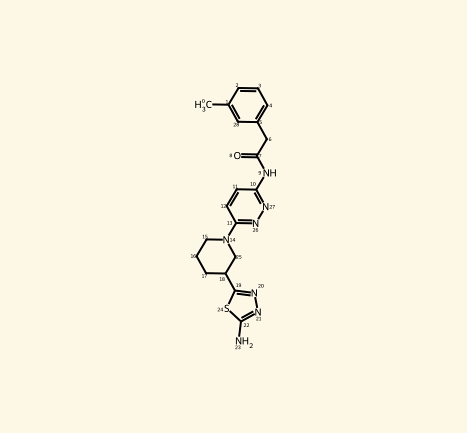 Cc1cccc(CC(=O)Nc2ccc(N3CCCC(c4nnc(N)s4)C3)nn2)c1